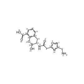 NCc1noc(CC(=O)N[C@H]2Cc3cccc(C(=O)O)c3OB2O)n1